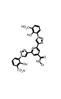 CCNC(=O)c1cc(-c2cn(-c3cccc(C(=O)O)c3O)nn2)nc(-c2cn(-c3cccc(C(=O)O)c3O)nn2)c1